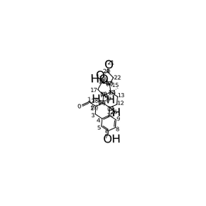 C=C[C@@H]1Cc2cc(O)ccc2[C@H]2CC[C@@]3(C)[C@@H](CC4OC(=O)C[C@@]43O)[C@H]12